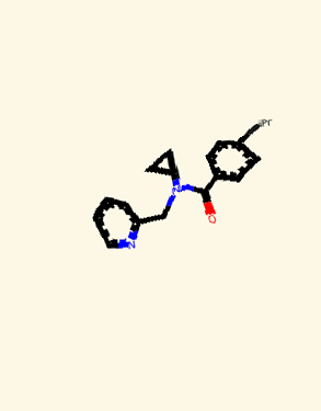 CC(C)c1ccc(C(=O)N(Cc2ccccn2)C2CC2)cc1